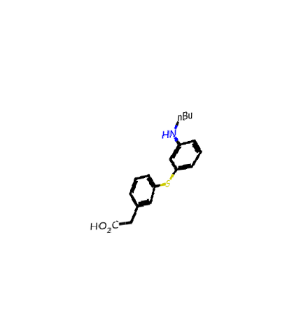 CCCCNc1cccc(Sc2cccc(CC(=O)O)c2)c1